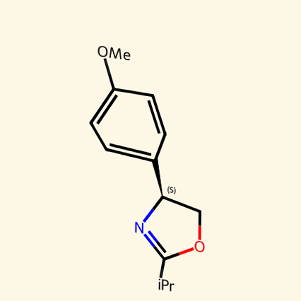 COc1ccc([C@H]2COC(C(C)C)=N2)cc1